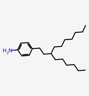 CCCCCCCC(CCCCCC)CCc1ccc(N)cc1